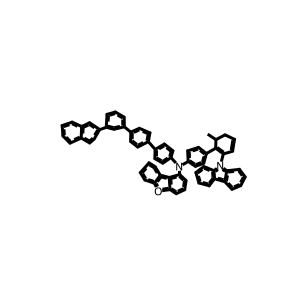 CC1CC=CC(n2c3ccccc3c3ccccc32)=C1c1ccc(N(c2ccc(-c3ccc(-c4cccc(-c5ccc6ccccc6c5)c4)cc3)cc2)c2cccc3oc4ccccc4c23)cc1